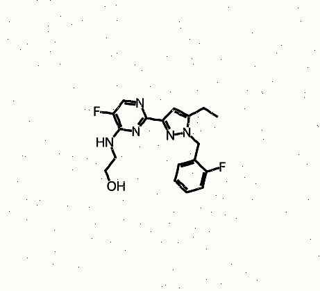 CCc1cc(-c2ncc(F)c(NCCO)n2)nn1Cc1ccccc1F